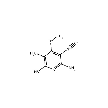 [C-]#[N+]c1c(N)nc(S)c(C)c1SC